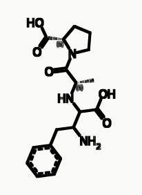 C[C@H](NC(C(=O)O)C(N)Cc1ccccc1)C(=O)N1CCC[C@H]1C(=O)O